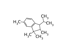 Cc1ccc2c(c1)C(C)(C)C(C)C2C(C)C